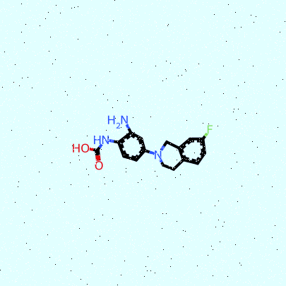 Nc1cc(N2CCc3ccc(F)cc3C2)ccc1NC(=O)O